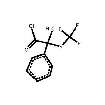 CC(SC(F)(F)F)(C(=O)O)c1ccccc1